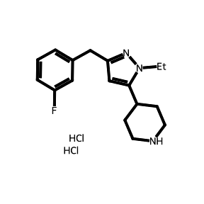 CCn1nc(Cc2cccc(F)c2)cc1C1CCNCC1.Cl.Cl